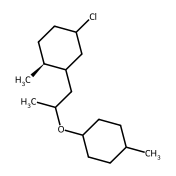 CC1CCC(OC(C)CC2CC(Cl)CC[C@@H]2C)CC1